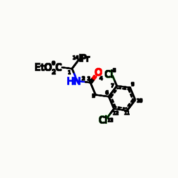 CCOC(=O)C(NC(=O)Cc1c(Cl)cccc1Cl)C(C)C